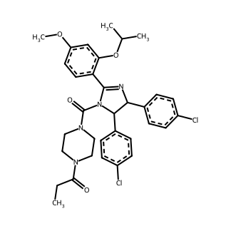 CCC(=O)N1CCN(C(=O)N2C(c3ccc(OC)cc3OC(C)C)=NC(c3ccc(Cl)cc3)C2c2ccc(Cl)cc2)CC1